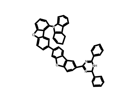 C1=Cc2c(c3ccccc3n2-c2cccc3oc4ccc(-c5ccc6c(c5)oc5ccc(C7=NC(c8ccccc8)NC(c8ccccc8)=N7)cc56)cc4c23)CC1